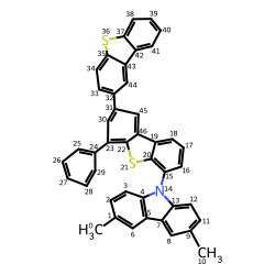 Cc1ccc2c(c1)c1cc(C)ccc1n2-c1cccc2c1sc1c(-c3ccccc3)cc(-c3ccc4sc5ccccc5c4c3)cc12